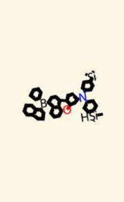 C[SiH](C)c1ccc(N(c2ccc([Si](C)(C)C)cc2)c2ccc3c(c2)Oc2cccc4c(B(c5ccccc5)c5cccc6ccccc56)ccc-3c24)cc1